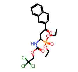 CCOP(=O)(OCC)C(CC(=O)c1ccc2ccccc2c1)NC(=O)OCC(Cl)(Cl)Cl